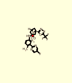 Cc1ccc(NC(=O)N2[C@@H]3C[C@H](C)C[C@@]2(c2nnc(C(F)(F)F)o2)C3)cc1-c1ncc(F)cn1